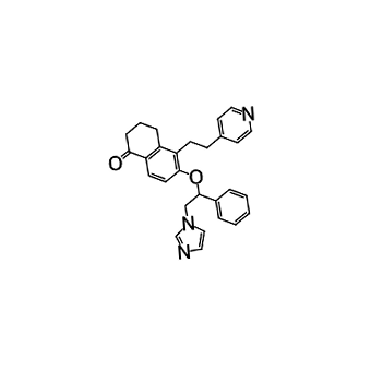 O=C1CCCc2c1ccc(OC(Cn1ccnc1)c1ccccc1)c2CCc1ccncc1